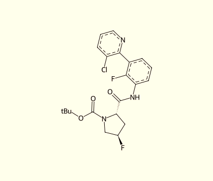 CC(C)(C)OC(=O)N1C[C@H](F)C[C@H]1C(=O)Nc1cccc(-c2ncccc2Cl)c1F